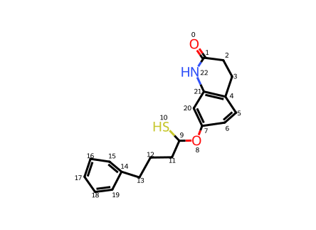 O=C1CCc2ccc(OC(S)CCCc3ccccc3)cc2N1